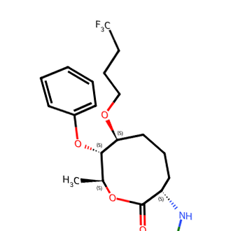 C[C@@H]1OC(=O)[C@@H](NCl)CCC[C@H](OCCCC(F)(F)F)[C@H]1Oc1ccccc1